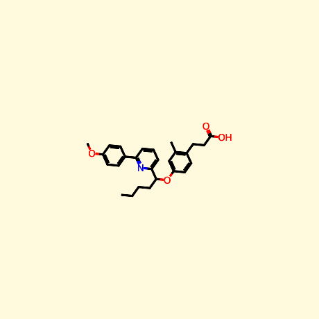 CCCCC(Oc1ccc(CCC(=O)O)c(C)c1)c1cccc(-c2ccc(OC)cc2)n1